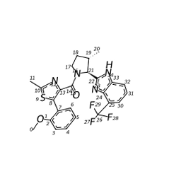 COc1ccccc1-c1sc(C)nc1C(=O)N1CC[C@H](C)[C@H]1c1nc2c(C(F)(F)F)cccc2[nH]1